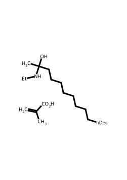 C=C(C)C(=O)O.CCCCCCCCCCCCCCCCCCC(C)(O)NCC